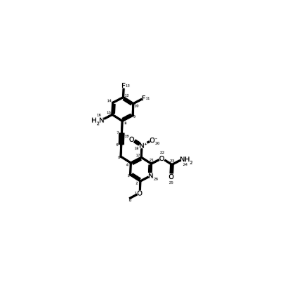 COc1cc(CC#Cc2cc(F)c(F)cc2N)c([N+](=O)[O-])c(OC(N)=O)n1